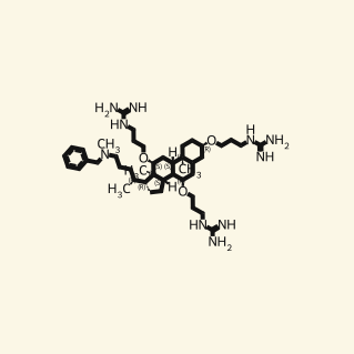 C[C@H](CCCN(C)Cc1ccccc1)[C@H]1CC[C@H]2C3[C@H](OCCCNC(=N)N)CC4C[C@H](OCCCNC(=N)N)CC[C@]4(C)[C@H]3C[C@H](OCCCNC(=N)N)[C@]12C